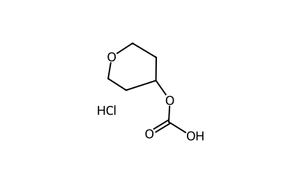 Cl.O=C(O)OC1CCOCC1